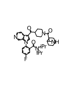 CC(C)N(C(=O)c1cc(F)ccc1-n1cc(C(=O)C2CCN(C(=O)C3NC4CCC3CC4)CC2)c2ccncc21)C(C)C